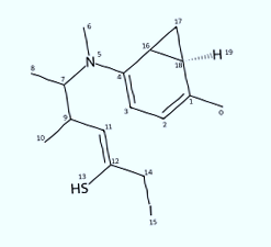 CC1=CC=C(N(C)C(C)C(C)/C=C(\S)CI)C2C[C@@H]12